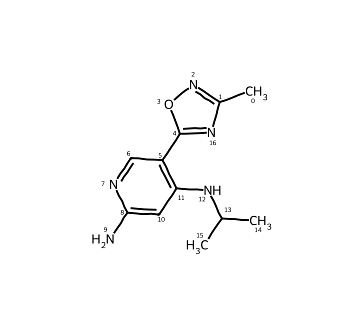 Cc1noc(-c2cnc(N)cc2NC(C)C)n1